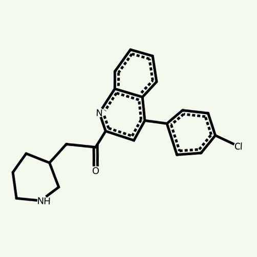 O=C(CC1CCCNC1)c1cc(-c2ccc(Cl)cc2)c2ccccc2n1